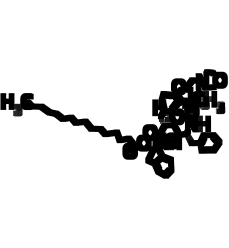 CCCCCCCCCCCCCCCC(=O)O[C@@H]1Cc2ccccc2[C@@H]1NC(=O)[C@H](Cc1ccc(OCCN2CCOCC2)cc1)C[C@H](O)[C@H](Cc1ccccc1)NC(=O)OC(C)(C)C